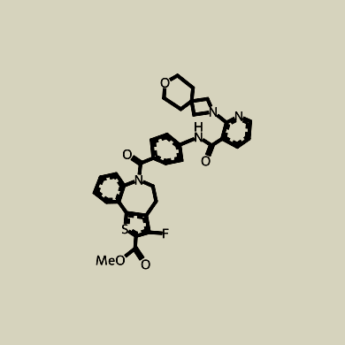 COC(=O)c1sc2c(c1F)CCN(C(=O)c1ccc(NC(=O)c3cccnc3N3CC4(CCOCC4)C3)cc1)c1ccccc1-2